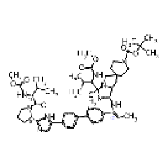 C/C=C(\NC1=NC(C)(C(NC(=O)OC)C(C)C)N2CC3(CCN(C(=O)OC(C)(C)C)CC3)CC12)c1ccc(-c2ccc(-c3cnc([C@@H]4CCCN4C(=O)[C@@H](NC(=O)OC)C(C)C)[nH]3)cc2)cc1